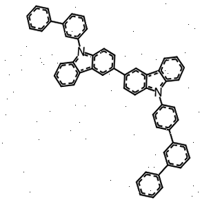 c1ccc(-c2cccc(-c3ccc(-n4c5ccccc5c5cc(-c6ccc7c(c6)c6ccccc6n7-c6cccc(-c7ccccc7)c6)ccc54)cc3)c2)cc1